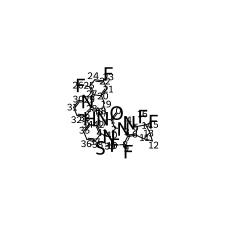 O=C(Cn1nc2c(c1C(F)F)C1CC1C2(F)F)N[C@@H](Cc1cc(F)cc(F)c1)c1ncccc1-c1ccc2scnc2c1